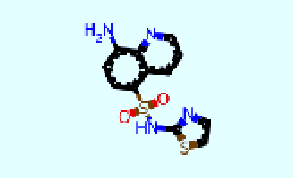 Nc1ccc(S(=O)(=O)Nc2nccs2)c2cccnc12